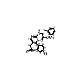 COC(=O)[C@@H](Cc1ccccc1)Nc1ncc2c(n1)-c1ccc(Cl)cc1NC(=O)C2